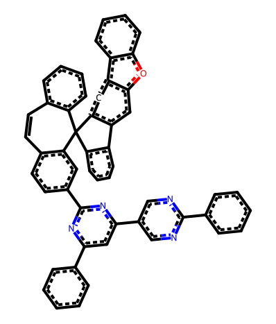 C1=Cc2ccc(-c3nc(-c4ccccc4)cc(-c4cnc(-c5ccccc5)nc4)n3)cc2C2(c3ccccc31)c1ccccc1-c1cc3oc4ccccc4c3cc12